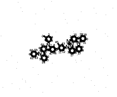 Cc1cccc(-n2c3cc(-c4ccc(-n5c6ccccc6n6c7c(ccc8c9ccccc9n(-c9ccccc9)c87)nc56)cc4C)ccc3c3c4c5ccccc5n(-c5ccccc5)c4ccc32)c1